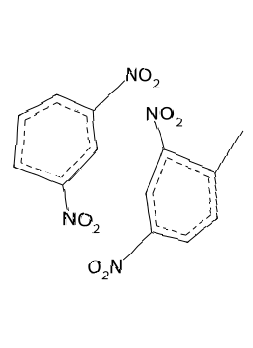 Cc1ccc([N+](=O)[O-])cc1[N+](=O)[O-].O=[N+]([O-])c1cccc([N+](=O)[O-])c1